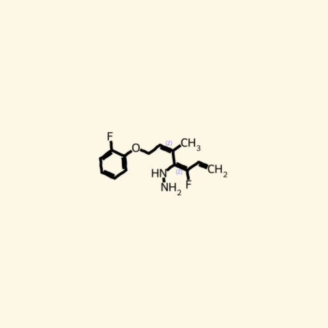 C=C/C(F)=C(NN)\C(C)=C/COc1ccccc1F